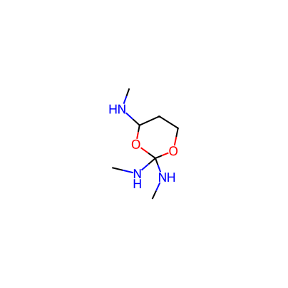 CNC1CCOC(NC)(NC)O1